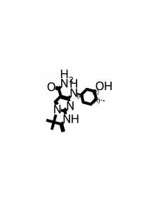 C=C(Nc1ncc(C(N)=O)c(N[C@@H]2CC[C@@H](C)[C@H](O)C2)n1)C(C)(C)C